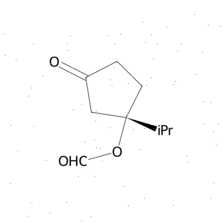 CC(C)[C@]1(OC=O)CCC(=O)C1